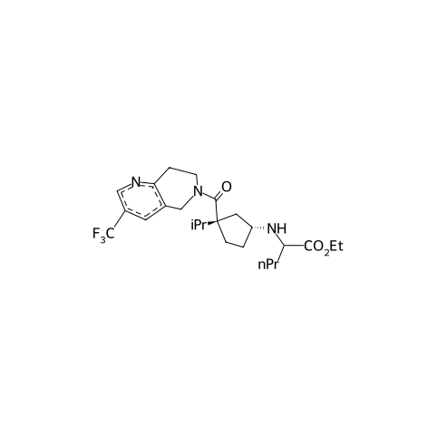 CCCC(N[C@@H]1CC[C@@](C(=O)N2CCc3ncc(C(F)(F)F)cc3C2)(C(C)C)C1)C(=O)OCC